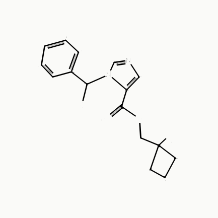 CC(c1ccccc1)n1cncc1C(=O)OCC1(C)CCC1